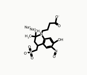 CC1(C)CC(CS(=O)(=O)[O-])c2cc(N=O)c(O)cc2N1CCCC(=O)[O-].[Na+].[Na+]